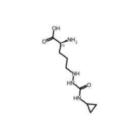 N[C@@H](CCCNNC(=O)NC1CC1)C(=O)O